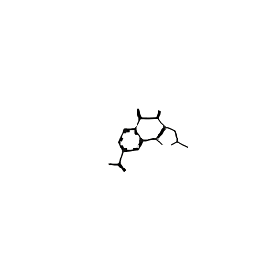 C=C(C(=O)O)c1ccc2c(c1)C1=C(CC(C)O1)C(=O)C2=O